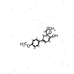 COc1ccc(C2=CC=C(O)C(C=O)(OC)C2)cc1